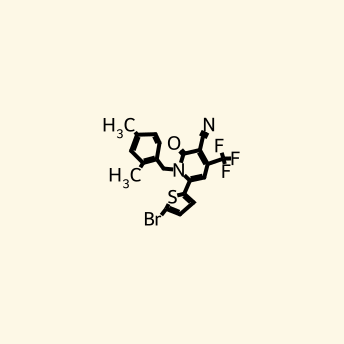 Cc1ccc(Cn2c(-c3ccc(Br)s3)cc(C(F)(F)F)c(C#N)c2=O)c(C)c1